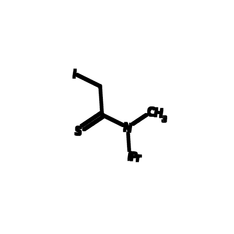 CC(C)N(C)C(=S)CI